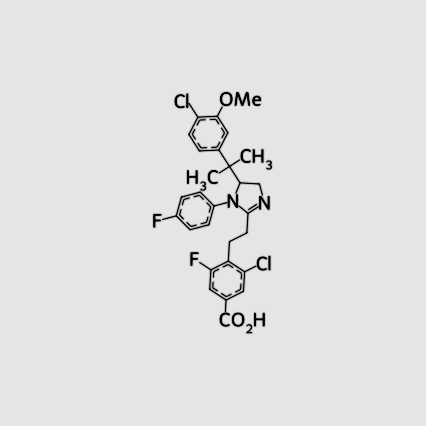 COc1cc(C(C)(C)C2CN=C(CCc3c(F)cc(C(=O)O)cc3Cl)N2c2ccc(F)cc2)ccc1Cl